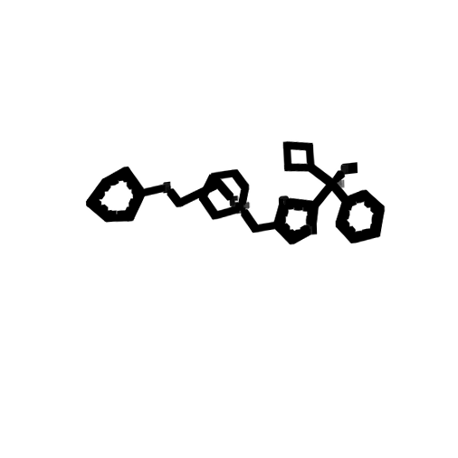 O[C@@](c1ccccc1)(c1ncc(C[N+]23CCC(CC2)C(CSc2ccccc2)C3)o1)C1CCC1